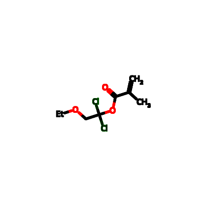 C=C(C)C(=O)OC(Cl)(Cl)COCC